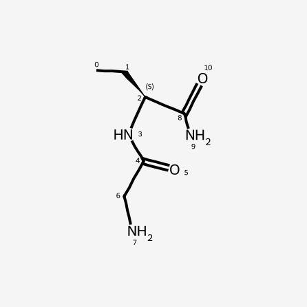 CC[C@H](NC(=O)CN)C(N)=O